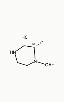 CC(=O)ON1CCNC[C@@H]1C.Cl